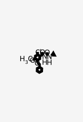 COc1cc(Cl)c(C(=O)NC(=O)NC2CC2)cc1OCc1ccccc1